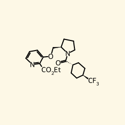 CCOC(=O)c1ncccc1OC[C@H]1CCCN1C(=O)[C@H]1CC[C@H](C(F)(F)F)CC1